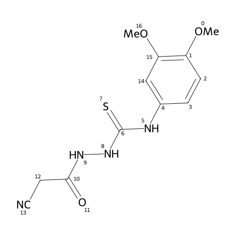 COc1ccc(NC(=S)NNC(=O)CC#N)cc1OC